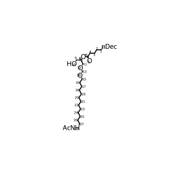 CCCCCCCCCCCCCCC(=O)O[C@H](CO)COCOCCCCCCCCCCCCCNC(C)=O